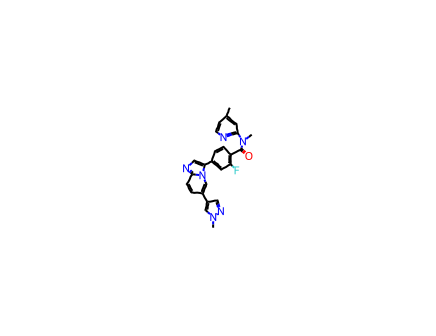 Cc1ccnc(N(C)C(=O)c2ccc(-c3cnc4ccc(-c5cnn(C)c5)cn34)cc2F)c1